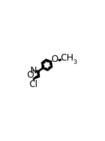 CCOc1ccc(-c2cc(Cl)on2)cc1